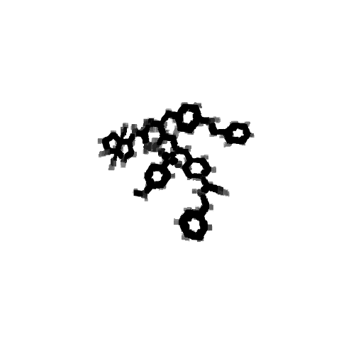 COc1ccc(S(=O)(=O)N(CC2CCN(C(=O)OCc3ccccc3)CC2)C[C@@H](O)[C@H](Cc2ccc(OCc3ccccc3)cc2)NC(=O)OC2CO[C@H]3OCC[C@@H]23)cc1